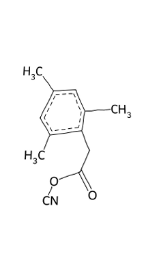 Cc1cc(C)c(CC(=O)OC#N)c(C)c1